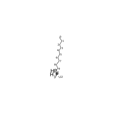 CCCCCCCCCCP[PH3]C